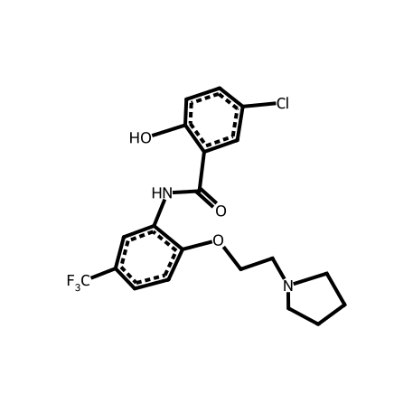 O=C(Nc1cc(C(F)(F)F)ccc1OCCN1CCCC1)c1cc(Cl)ccc1O